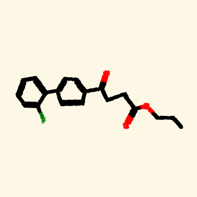 CCCOC(=O)CCC(=O)c1ccc(-c2ccccc2F)cc1